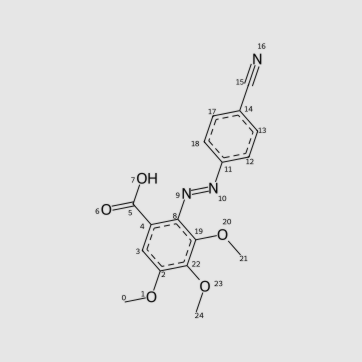 COc1cc(C(=O)O)c(/N=N/c2ccc(C#N)cc2)c(OC)c1OC